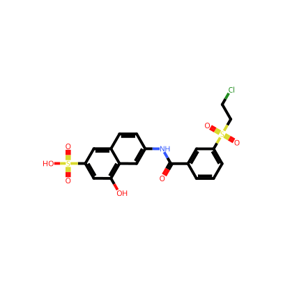 O=C(Nc1ccc2cc(S(=O)(=O)O)cc(O)c2c1)c1cccc(S(=O)(=O)CCCl)c1